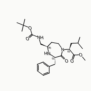 COC(=O)[C@H](CC(C)C)N1CC[C@H](CNC(=O)OC(C)(C)C)N[C@@H](Cc2ccccc2)C1=O